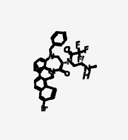 CN[C@@H](C)CN(C(=O)C(F)(F)F)[C@H]1CN(Cc2ccccc2)c2ccccc2N(Cc2c(OC)ccc3cc(Br)ccc23)C1=O